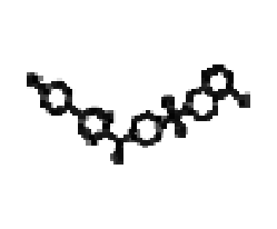 O=C(c1ncc(-c2cc[n+]([O-])cc2)cn1)N1CCN(S(=O)(=O)N2CCc3c(Cl)cccc3C2)CC1